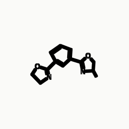 CC1COC(c2cccc(C3=NCCO3)c2)=N1